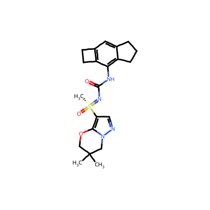 CC1(C)COc2c([S@@](C)(=O)=NC(=O)Nc3c4c(cc5c3CC5)CCC4)cnn2C1